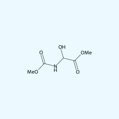 COC(=O)NC(O)C(=O)OC